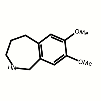 COc1cc2c(cc1OC)CNCCC2